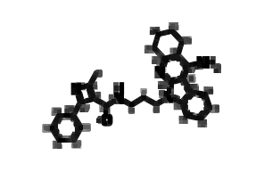 CC1=C(C(=O)NCCCn2c3ccccc3c3c(N)c4c(nc32)CCCC4)C(c2ccccc2)=N1